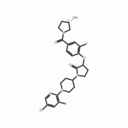 O=C(c1ccc(OC2CCN(C3CCN(c4ncc(Cl)cc4F)CC3)C2=O)c(F)c1)N1CC[C@H](O)C1